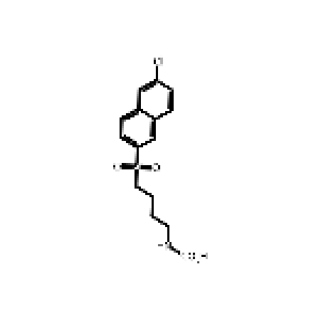 O=C(O)NCCCCS(=O)(=O)c1ccc2cc(Cl)ccc2c1